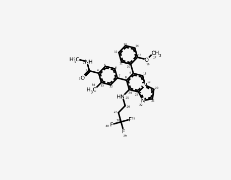 CNC(=O)c1ccc(-c2c(-c3ccccc3OC)cn3ccnc3c2NCCC(F)(F)F)cc1C